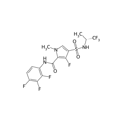 C[C@@H](NS(=O)(=O)c1cn(C)c(C(=O)Nc2ccc(F)c(F)c2F)c1F)C(F)(F)F